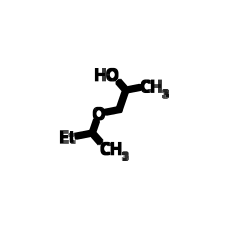 CCC(C)OCC(C)O